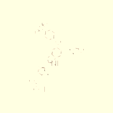 CN1C(=O)CCC1c1cc2[nH]c(-c3nc(CC(=O)O)cs3)cc2cc1Oc1ccc(S(C)(=O)=O)cc1